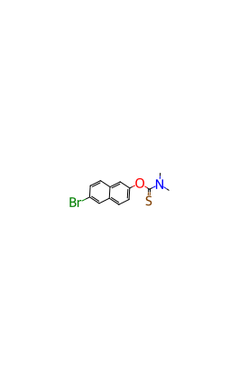 CN(C)C(=S)Oc1ccc2cc(Br)ccc2c1